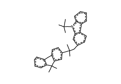 CC(C)(Cc1ccc2c3ccccc3n(C(C)(C)C)c2c1)c1ccc2c(c1)C(C)(C)c1ccccc1-2